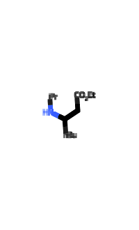 CCCCC(CC(=O)OCC)NC(C)C